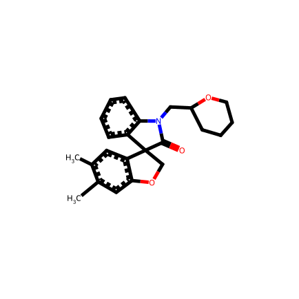 Cc1cc2c(cc1C)C1(CO2)C(=O)N(CC2CCCCO2)c2ccccc21